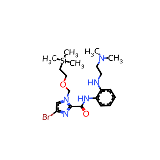 CN(C)CCNc1ccccc1NC(=O)c1nc(Br)cn1COCC[Si](C)(C)C